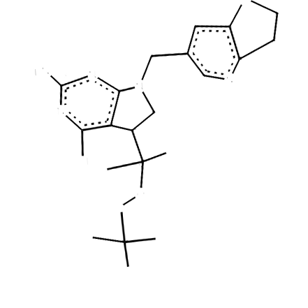 CC(C)(C)[SiH2]OC(C)(C)C1CN(Cc2cnc3c(c2)OCC3)c2nc(N)nc(Cl)c21